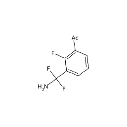 CC(=O)c1cccc(C(N)(F)F)c1F